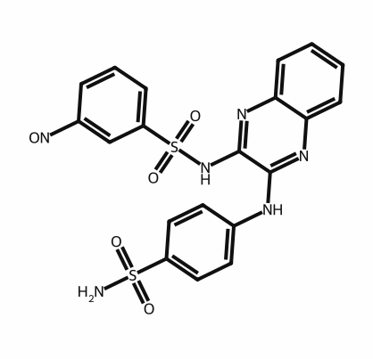 NS(=O)(=O)c1ccc(Nc2nc3ccccc3nc2NS(=O)(=O)c2cccc(N=O)c2)cc1